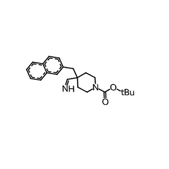 CC(C)(C)OC(=O)N1CCC(C=N)(Cc2ccc3ccccc3c2)CC1